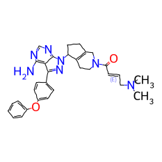 CN(C)C/C=C/C(=O)N1CCC2=C(CCC2n2nc(-c3ccc(Oc4ccccc4)cc3)c3c(N)ncnc32)C1